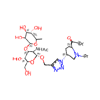 CC(=O)NC1[C@H](OCc2cn([C@@H]3C[C@@H](C(=O)C(C)C)N(C(C)C)C3)nn2)OC(CO)[C@H](O)[C@@H]1O[C@@H]1OC(C)[C@@H](O)[C@H](O)C1O